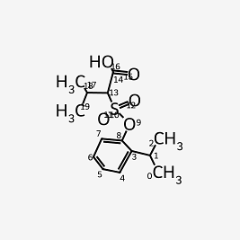 CC(C)c1ccccc1OS(=O)(=O)C(C(=O)O)C(C)C